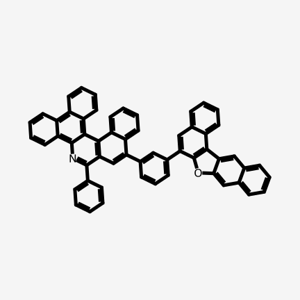 c1ccc(-c2nc3c4ccccc4c4ccccc4c3c3c2cc(-c2cccc(-c4cc5ccccc5c5c4oc4cc6ccccc6cc45)c2)c2ccccc23)cc1